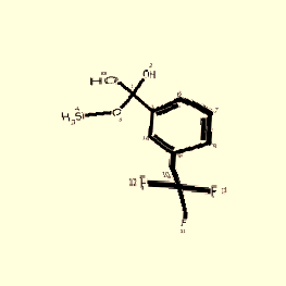 OC(O)(O[SiH3])c1cccc(C(F)(F)F)c1